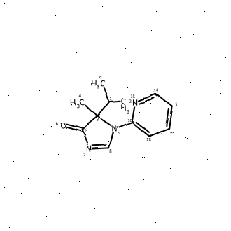 CC(C)C1(C)C(=O)N=CN1c1ccccn1